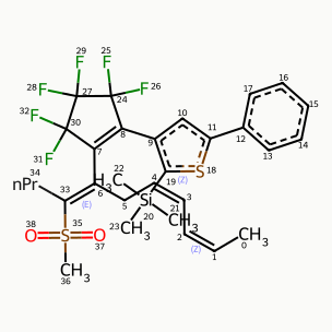 C/C=C\C=C/C/C(C1=C(c2cc(-c3ccccc3)sc2[Si](C)(C)C)C(F)(F)C(F)(F)C1(F)F)=C(/CCC)S(C)(=O)=O